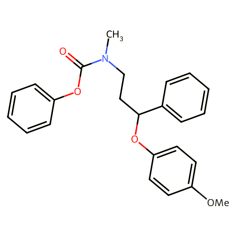 COc1ccc(OC(CCN(C)C(=O)Oc2ccccc2)c2ccccc2)cc1